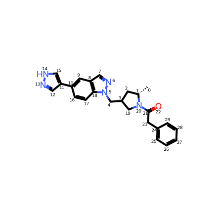 C[C@H]1CC(Cn2ncc3cc(-c4cn[nH]c4)ccc32)CN1C(=O)Cc1ccccc1